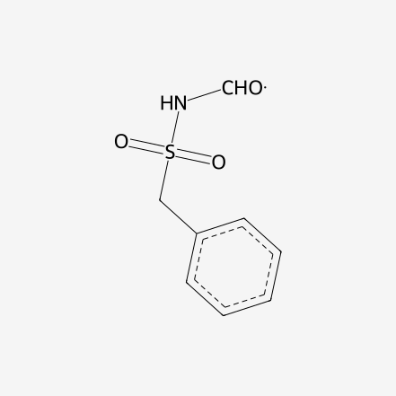 O=[C]NS(=O)(=O)Cc1ccccc1